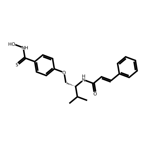 CC(C)[C@H](COc1ccc(C(=S)NO)cc1)NC(=O)/C=C/c1ccccc1